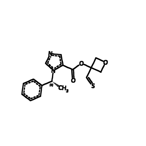 C[C@H](c1ccccc1)n1cncc1C(=O)OC1(C=S)COC1